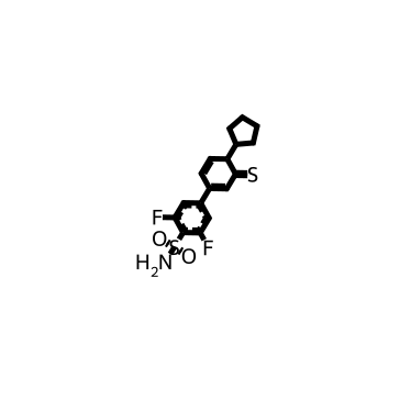 NS(=O)(=O)c1c(F)cc(C2=CC(=S)C(C3CCCC3)C=C2)cc1F